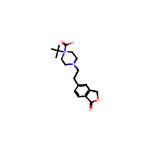 CC(C)(C)[N+]1(C(=O)[O-])CCN(CCc2ccc3c(c2)COC3=O)CC1